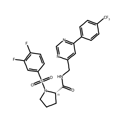 O=C(NCc1cc(-c2ccc(C(F)(F)F)cc2)ncn1)[C@@H]1CCCN1S(=O)(=O)c1ccc(F)c(F)c1